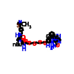 CCCC[C@H](NC(=O)COCCOCCOCCOc1cc(Nc2nc(N[C@H]3CCCC[C@H]3N)n3ccnc3c2C(N)=O)cc(OC)c1)C(=O)N1CCC[C@H]1C(=O)NCc1ccc(-c2scnc2C)cc1